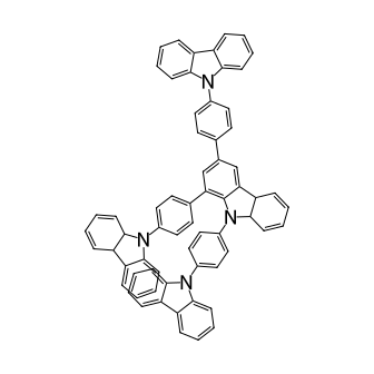 C1=CC2c3ccccc3N(c3ccc(-c4cc(-c5ccc(-n6c7ccccc7c7ccccc76)cc5)cc5c4N(c4ccc(-n6c7ccccc7c7ccccc76)cc4)C4C=CC=CC54)cc3)C2C=C1